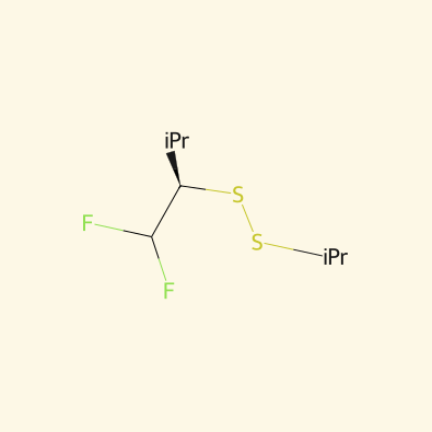 CC(C)SS[C@H](C(C)C)C(F)F